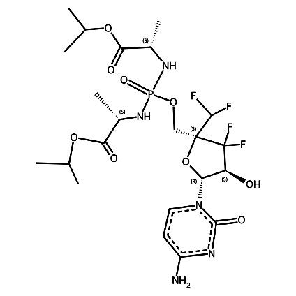 CC(C)OC(=O)[C@H](C)NP(=O)(N[C@@H](C)C(=O)OC(C)C)OC[C@@]1(C(F)F)O[C@@H](n2ccc(N)nc2=O)[C@H](O)C1(F)F